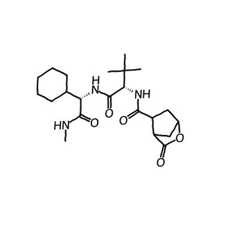 CNC(=O)[C@@H](NC(=O)[C@@H](NC(=O)C1CC2CC1C(=O)O2)C(C)(C)C)C1CCCCC1